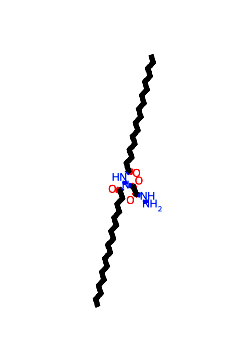 CCCCCCCCCCCCCCCCCC(=O)NN(C(=O)CCCCCCCCCCCCCCCCC)C(=O)C(=O)NN